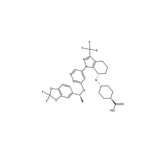 C[C@H](Oc1cc(-n2nc(C(F)(F)F)c3c2[C@@H](O[C@H]2CC[C@H](C(=O)O)CC2)CCC3)cnn1)c1ccc2c(c1)OC(F)(F)O2